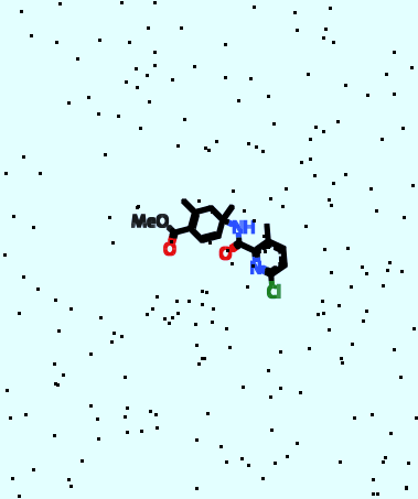 COC(=O)C1=C(C)CC(C)(NC(=O)c2nc(Cl)ccc2C)C=C1